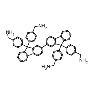 NCc1ccc(C2(c3ccc(CN)cc3)c3ccccc3-c3ccc(-c4ccc5c(c4)C(c4ccc(CN)cc4)(c4ccc(CN)cc4)c4ccccc4-5)cc32)cc1